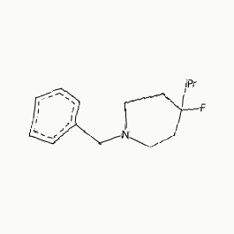 CC(C)C1(F)CCN(Cc2ccccc2)CC1